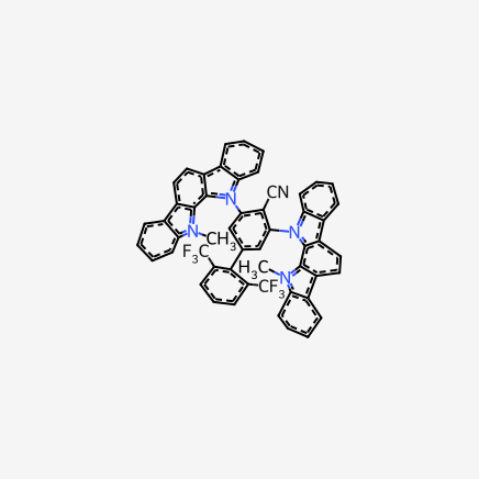 Cn1c2ccccc2c2ccc3c4ccccc4n(-c4cc(-c5c(C(F)(F)F)cccc5C(F)(F)F)cc(-n5c6ccccc6c6ccc7c8ccccc8n(C)c7c65)c4C#N)c3c21